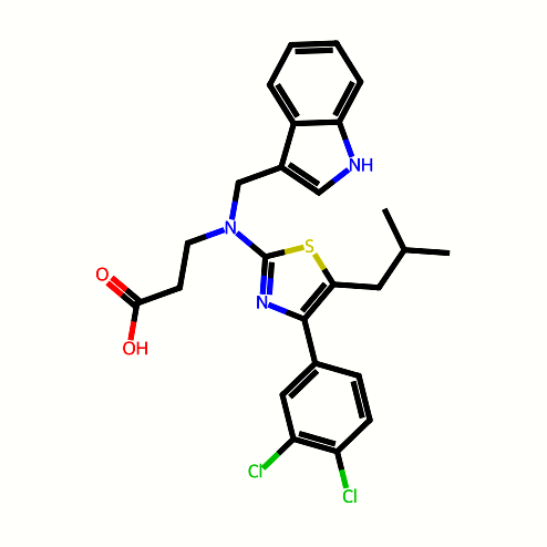 CC(C)Cc1sc(N(CCC(=O)O)Cc2c[nH]c3ccccc23)nc1-c1ccc(Cl)c(Cl)c1